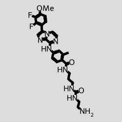 COc1ccc(-c2cnc3c(Nc4ccc(C(=O)NCCCNC(=O)NCCN)c(C)c4)nccn23)c(F)c1F